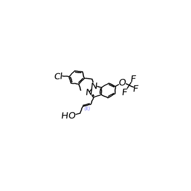 Cc1cc(Cl)ccc1Cn1nc(/C=C/CO)c2ccc(OC(F)(F)F)cc21